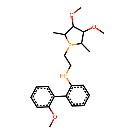 COc1ccccc1-c1ccccc1PCCP1C(C)C(OC)C(OC)C1C